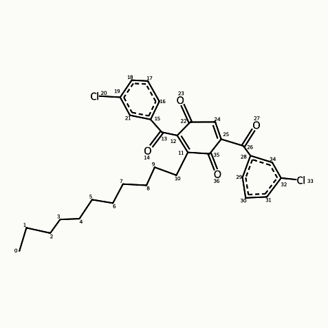 CCCCCCCCCCCC1=C(C(=O)c2cccc(Cl)c2)C(=O)C=C(C(=O)c2cccc(Cl)c2)C1=O